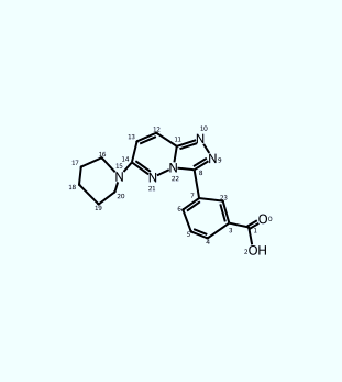 O=C(O)c1cccc(-c2nnc3ccc(N4CCCCC4)nn23)c1